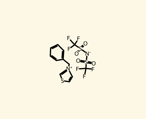 O=S(=O)([N-]S(=O)(=O)C(F)(F)F)C(F)(F)F.c1ccc(C[n+]2ccsc2)cc1